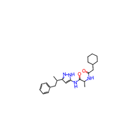 CC(NC(=O)CC1CCCCC1)C(=O)Nc1cc(C(C)Cc2ccccc2)n[nH]1